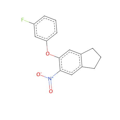 O=[N+]([O-])c1cc2c(cc1Oc1cccc(F)c1)CCC2